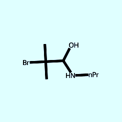 [CH2]CCNC(O)C(C)(C)Br